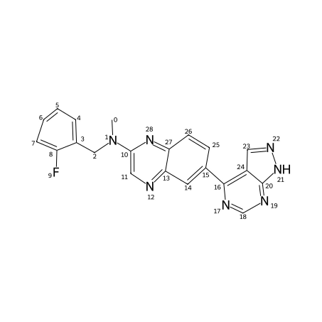 CN(Cc1ccccc1F)c1cnc2cc(-c3ncnc4[nH]ncc34)ccc2n1